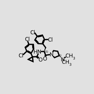 CN(C)[C@H]1CCN(C(=O)[C@H](Cc2ccc(Cl)cc2Cl)NC(=O)C2(c3ccc(Cl)cc3Cl)CC2)C1